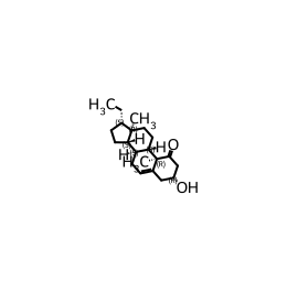 CC[C@H]1CC[C@H]2[C@@H]3CC=C4C[C@@H](O)CC(=O)[C@]4(C)[C@H]3CC[C@]12C